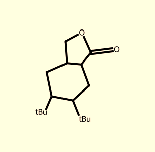 CC(C)(C)C1CC2COC(=O)C2CC1C(C)(C)C